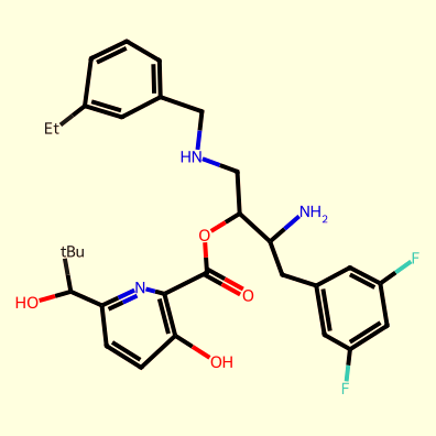 CCc1cccc(CNCC(OC(=O)c2nc(C(O)C(C)(C)C)ccc2O)C(N)Cc2cc(F)cc(F)c2)c1